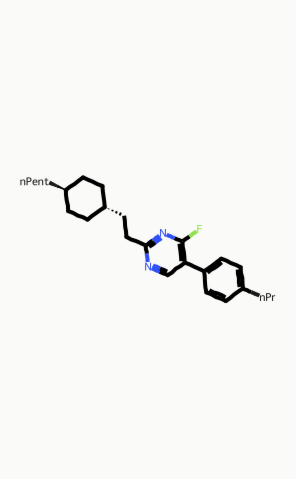 CCCCC[C@H]1CC[C@H](CCc2ncc(-c3ccc(CCC)cc3)c(F)n2)CC1